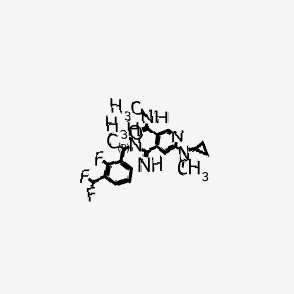 CNC(=O)c1cnc(N(C)C2CC2)cc1C(=N)N[C@H](C)c1cccc(C(F)F)c1F